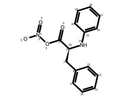 O=C(O[N+](=O)[O-])[C@H](Cc1ccccc1)Nc1ccccc1